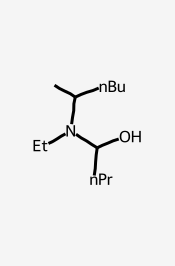 CCCCC(C)N(CC)C(O)CCC